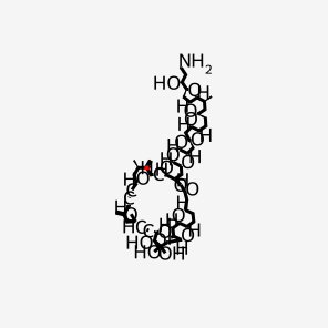 C=C1C[C@@H]2CC[C@]34OC([C@@H]5O[C@H]6CC[C@H](CC(=O)O[C@@H]7CC8O[C@@H]9C[C@]%10(C[C@@H]%11O[C@@]%12(CC[C@@H]%11O%10)C[C@H](C)[C@@H]%10O[C@H]([C@@H](O)CCN)C[C@@H]%10O%12)O[C@@H]9O[C@@H]8O[C@H]7C[C@H]7O[C@@H](CC[C@@H]1O2)C[C@@H](C)C7=C)O[C@@H]6[C@H](O3)C5I)C(O)(O)[C@H]4O